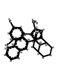 Cn1nc2c(c1-c1cc(F)cc(F)c1)CC1CCCC2N1C(=O)c1ccc2ncccc2c1